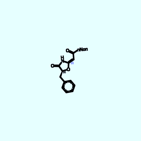 CCCCCCCCCC(=O)/C=C1\NC(=O)[C@H](Cc2ccccc2)O1